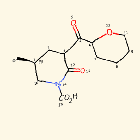 C[C@H]1CC(C(=O)C2CCCCO2)C(=O)N(C(=O)O)C1